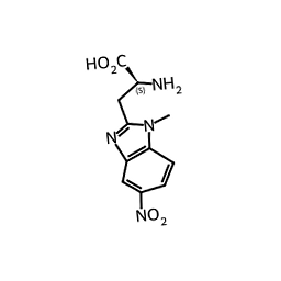 Cn1c(C[C@H](N)C(=O)O)nc2cc([N+](=O)[O-])ccc21